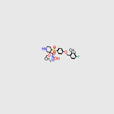 CCOC1(C(=O)NO)CNCCC1S(=O)(=O)c1ccc(OCc2ccc(F)cc2C)cc1